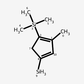 CC1=C([Si](C)(C)C)CC([SiH3])=C1